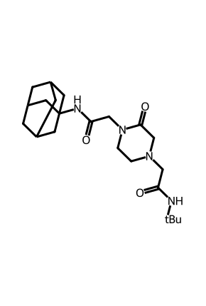 CC(C)(C)NC(=O)CN1CCN(CC(=O)NC23CC4CC(CC(C4)C2)C3)C(=O)C1